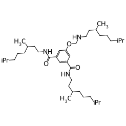 CC(C)CCCC(C)CCNCOc1cc(C(=O)NCCC(C)CCCC(C)C)cc(C(=O)NCCC(C)CCCC(C)C)c1